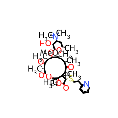 CC[C@H]1OC(=O)[C@H](C)C(=O)[C@H](C)[C@@H](O[C@@H]2O[C@H](C)C[C@H](N(C)C)[C@H]2O)[C@](C)(OC)C[C@@H](C)C(=O)[C@H](C)[C@H]2[C@H](SCCc3ccccn3)C(=O)O[C@@]21C